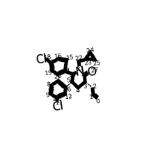 C=CC[C@@H]1C[C@H](c2cccc(Cl)c2)C(c2ccc(Cl)cc2)N(CC2CC2)C1=O